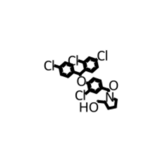 O=C(c1ccc(OC(c2ccc(Cl)cc2)c2ccc(Cl)cc2Cl)c(Cl)c1)N1CCCC1CO